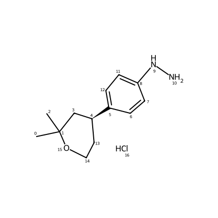 CC1(C)C[C@@H](c2ccc(NN)cc2)CCO1.Cl